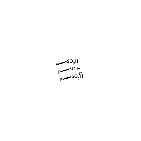 O=S(=O)(O)F.O=S(=O)(O)F.O=S(=O)(O)F.[Ca]